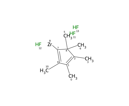 CC1=C(C)C(C)(C)[C]([Zr])=C1C.F.F.F